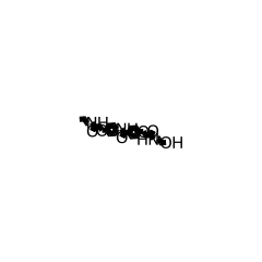 CCCNC(=O)COc1ccc(NC(=O)c2ccc(OCC(=O)NCCO)cc2)cc1